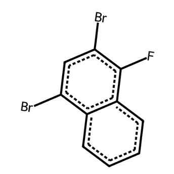 Fc1c(Br)cc(Br)c2ccccc12